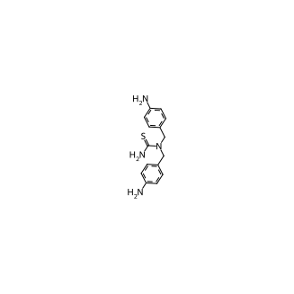 NC(=S)N(Cc1ccc(N)cc1)Cc1ccc(N)cc1